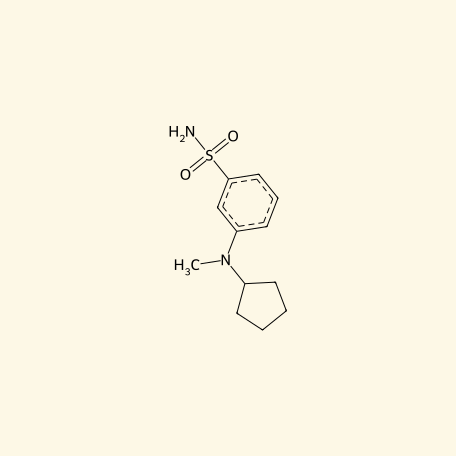 CN(c1cccc(S(N)(=O)=O)c1)C1CCCC1